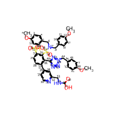 COc1ccc(CN(Cc2ccc(OC)cc2)S(=O)(=O)c2c([SH](=O)=O)ccc(-c3ccnc(CNC(=O)O)c3)c2-c2nnn(Cc3ccc(OC)cc3)n2)cc1